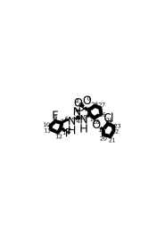 O=S1(=O)N=C(NCc2c(F)cccc2F)Nc2c(Oc3ccccc3Cl)cccc21